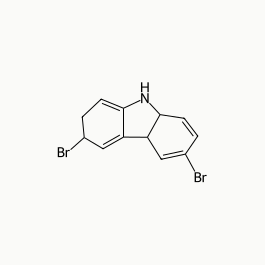 BrC1=CC2C3=CC(Br)CC=C3NC2C=C1